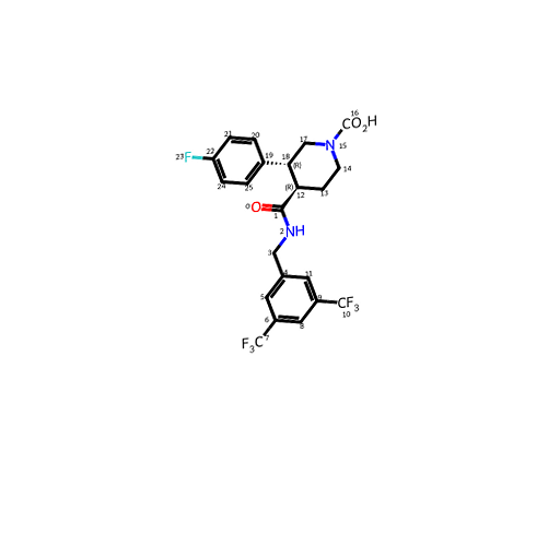 O=C(NCc1cc(C(F)(F)F)cc(C(F)(F)F)c1)[C@@H]1CCN(C(=O)O)C[C@H]1c1ccc(F)cc1